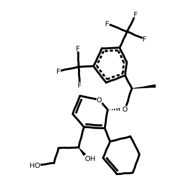 C[C@@H](O[C@H]1OC=CC([C@@H](O)CCO)=C1C1C=CCCC1)c1cc(C(F)(F)F)cc(C(F)(F)F)c1